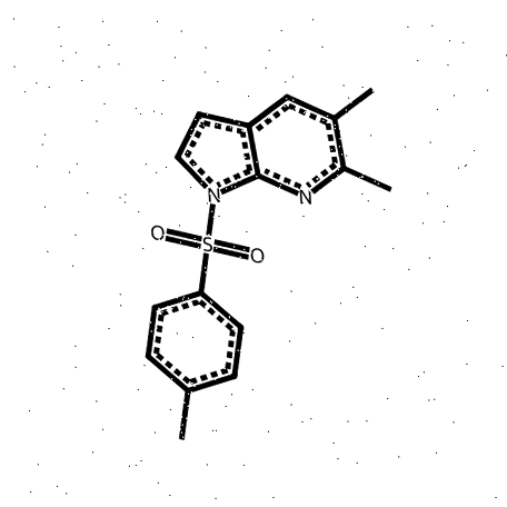 Cc1ccc(S(=O)(=O)n2ccc3cc(C)c(C)nc32)cc1